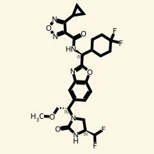 COC[C@H](c1ccc2oc([C@@H](NC(=O)c3nonc3C3CC3)C3CCC(F)(F)CC3)nc2c1)N1C[C@@H](C(F)F)NC1=O